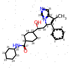 CC1=C(c2ccccc2)C(C[C@H](O)C2CCC(C(=O)NC3CCCCC3)CC2)n2cncc21